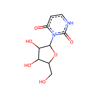 O=c1cc[nH]c(=O)n1C1OC(CO)C(O)C1O